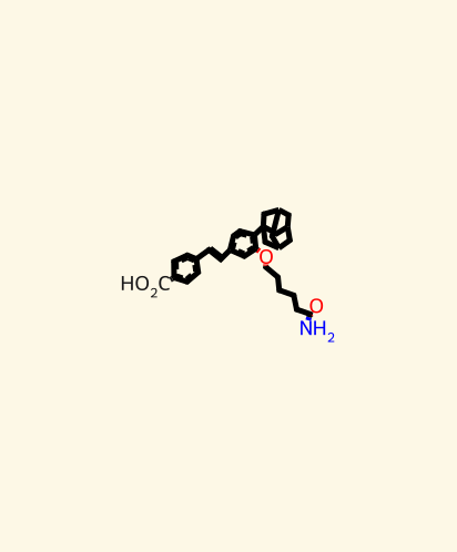 NC(=O)CCCCCOc1cc(/C=C/c2ccc(C(=O)O)cc2)ccc1C12CC3CC(CC(C3)C1)C2